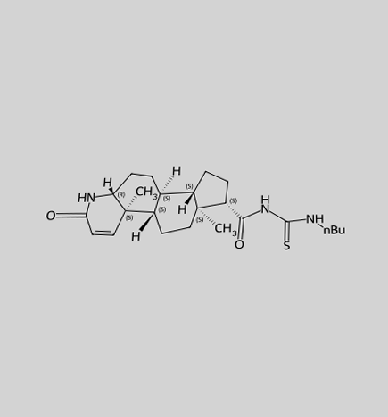 CCCCNC(=S)NC(=O)[C@H]1CC[C@H]2[C@@H]3CC[C@H]4NC(=O)C=C[C@]4(C)[C@H]3CC[C@]12C